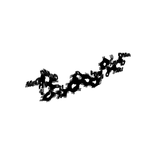 CCC(C)C(NC(=O)OC)C(=O)N1[C@@H](C)CC[C@H]1c1nc2ccc3cc4c(cc3c2[nH]1)OCc1cc(-c2cnc([C@@H]3CC[C@H](C)N3C(=O)C(NC(=O)OC)C(C)OC)[nH]2)ccc1-4